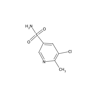 Cc1ncc(S(N)(=O)=O)cc1Cl